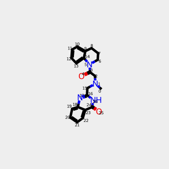 CN(CC(=O)N1CCCc2ccccc21)Cc1nc2ccccc2c(=O)[nH]1